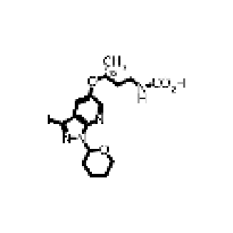 C[C@H](CCNC(=O)O)Oc1cnc2c(c1)c(I)nn2C1CCCCO1